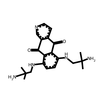 CC(C)(N)CNc1ccc(NCC(C)(C)N)c2c1C(=O)c1ccncc1C2=O